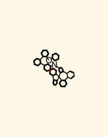 C1=CC2c3ccccc3C3(c4ccccc4-c4ccccc43)c3cc(N(c4ccccc4)c4cccc5c4Oc4ccccc4-c4ccccc4-5)ccc3C2C=C1